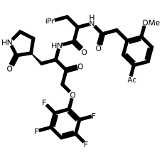 COc1ccc(C(C)=O)cc1CC(=O)NC(CC(C)C)C(=O)NC(C[C@@H]1CCNC1=O)C(=O)COc1c(F)c(F)cc(F)c1F